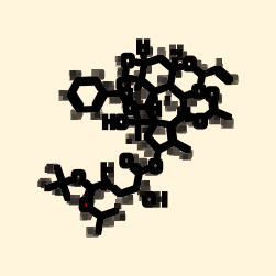 C=C[C@@H]1O[C@H]2C[C@H]3OC[C@H]3[C@H]3[C@H](OC(=O)c4ccccc4)C4(C(C)(C)O)C[C@H](OC(=O)[C@H](O)[C@H](CC(C)C)NC(=O)OC(C)(C)C)C(C)=C4[C@H](OC(C)=O)[C@H](O1)[C@@]32C